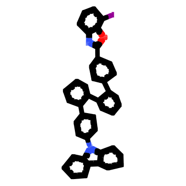 Ic1cccc2nc(-c3ccc(-c4ccccc4-c4ccccc4-c4ccc(-n5c6ccccc6c6ccccc65)cc4)cc3)oc12